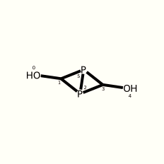 OC1P2C(O)P12